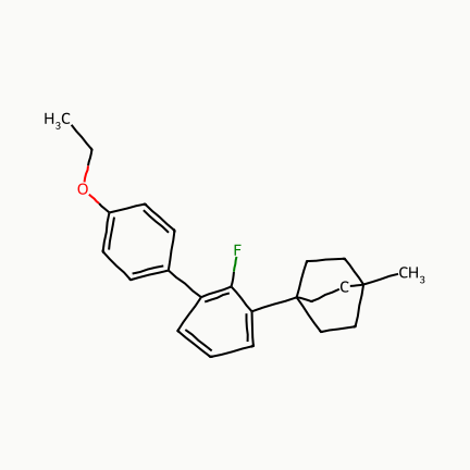 CCOc1ccc(-c2cccc(C34CCC(C)(CC3)CC4)c2F)cc1